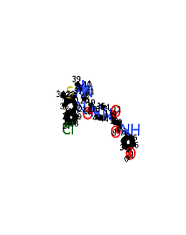 COc1ccc(NC(=O)/C=C/C(=O)N2CCN(C(=O)C[C@@H]3N=C(c4ccc(Cl)cc4)c4c(sc(C)c4C)-n4c(C)nnc43)CC2)cc1